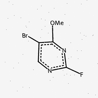 COc1nc(F)ncc1Br